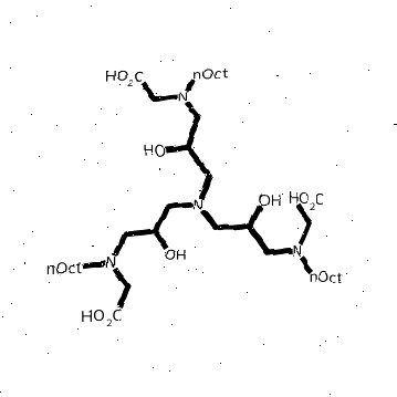 CCCCCCCCN(CC(=O)O)CC(O)CN(CC(O)CN(CCCCCCCC)CC(=O)O)CC(O)CN(CCCCCCCC)CC(=O)O